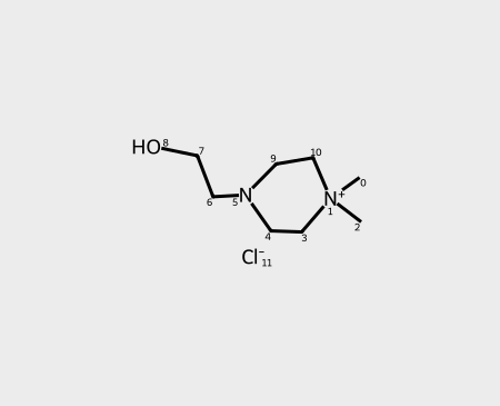 C[N+]1(C)CCN(CCO)CC1.[Cl-]